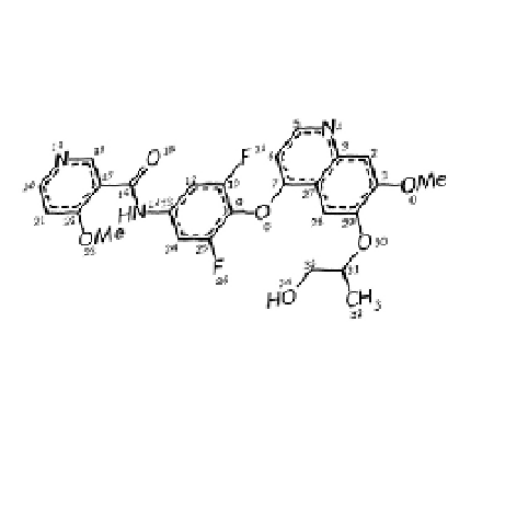 COc1cc2nccc(Oc3c(F)cc(NC(=O)c4cnccc4OC)cc3F)c2cc1OC(C)CO